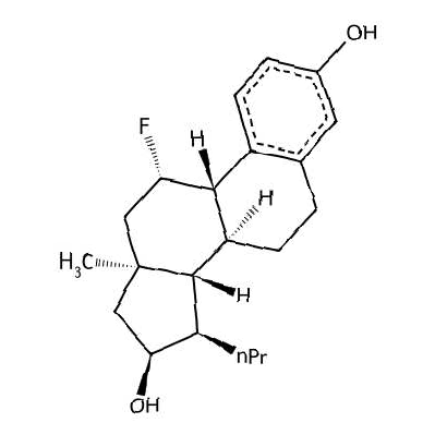 CCC[C@@H]1[C@H]2[C@@H]3CCc4cc(O)ccc4[C@H]3[C@@H](F)C[C@]2(C)C[C@@H]1O